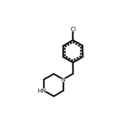 Clc1c[c]c(CN2CCNCC2)cc1